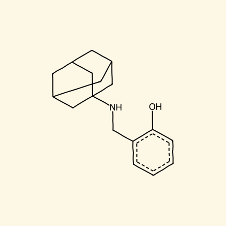 Oc1ccccc1CNC12CC3CC(CC(C3)C1)C2